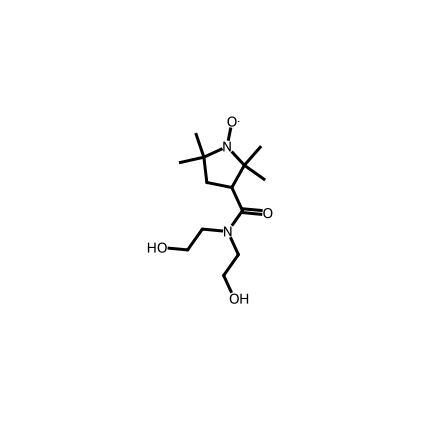 CC1(C)CC(C(=O)N(CCO)CCO)C(C)(C)N1[O]